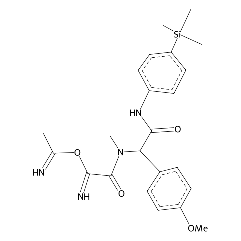 COc1ccc(C(C(=O)Nc2ccc([Si](C)(C)C)cc2)N(C)C(=O)C(=N)OC(C)=N)cc1